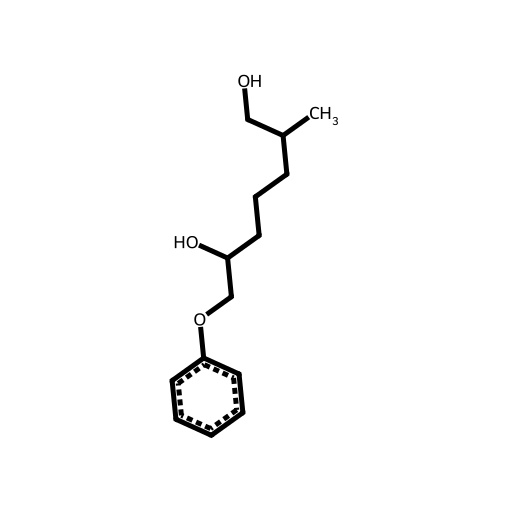 CC(CO)CCCC(O)COc1ccccc1